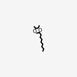 CCCCCCCCC1COC(C)C(C)O1